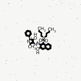 CCCCN(CCCC)S(=O)(=O)c1c(/N=N/c2c(C)nn(-c3ccccc3)c2O)c(O)cc2ccccc12